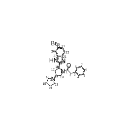 O=C(Cc1ccccc1)N1C[C@@H](N2CCCC2)C[C@H]1c1nc2ccc(Br)cc2[nH]1